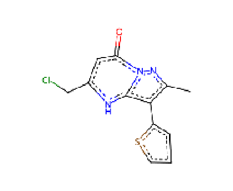 Cc1nn2c(=O)cc(CCl)[nH]c2c1-c1cccs1